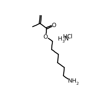 C=C(C)C(=O)OCCCCCCN.Cl.N